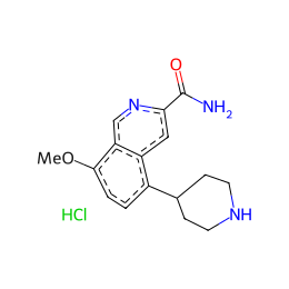 COc1ccc(C2CCNCC2)c2cc(C(N)=O)ncc12.Cl